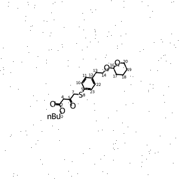 CCCCOC(=O)CC(=O)CSc1ccc(CCOC2CCCCO2)cc1